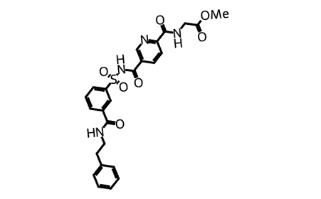 COC(=O)CNC(=O)c1ccc(C(=O)NS(=O)(=O)c2cccc(C(=O)NCCc3ccccc3)c2)cn1